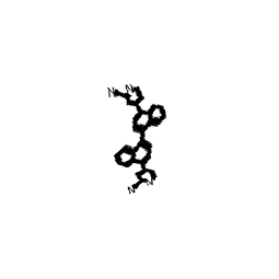 N#Cc1cc(-c2ccc(-c3ccc(-c4ccnc(C#N)c4)c4ccccc34)c3ccccc23)ccn1